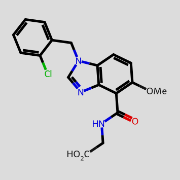 COc1ccc2c(ncn2Cc2ccccc2Cl)c1C(=O)NCC(=O)O